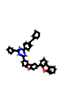 c1ccc(-c2ccc(-c3nc(-c4ccccc4)nc(-c4ccc5oc6ccc(-c7cccc8c7oc7ccccc78)cc6c5c4)n3)cc2)cc1